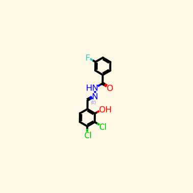 O=C(N/N=C/c1ccc(Cl)c(Cl)c1O)c1cccc(F)c1